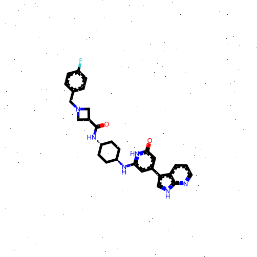 O=C(N[C@H]1CC[C@H](Nc2cc(-c3c[nH]c4ncccc34)cc(=O)[nH]2)CC1)C1CN(Cc2ccc(F)cc2)C1